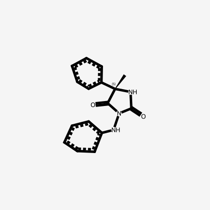 C[C@@]1(c2ccccc2)NC(=O)N(Nc2ccccc2)C1=O